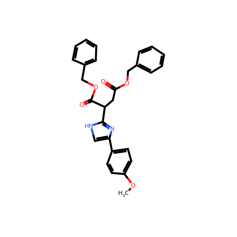 COc1ccc(-c2c[nH]c(C(CC(=O)OCc3ccccc3)C(=O)OCc3ccccc3)n2)cc1